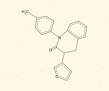 Cc1ccc(N2C(=O)C(c3ccoc3)Cc3ccccc32)cc1